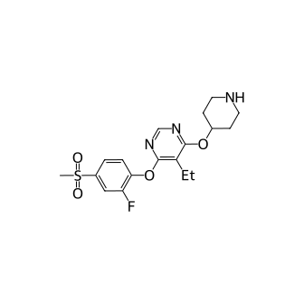 CCc1c(Oc2ccc(S(C)(=O)=O)cc2F)ncnc1OC1CCNCC1